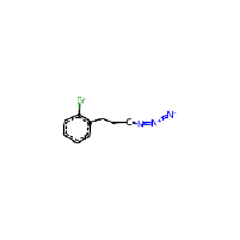 [N-]=[N+]=NCCCc1ccccc1Br